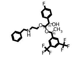 C[C@@H](O[C@@H](OCCNCc1ccccc1)[C@@H](O)c1ccc(F)cc1)c1cc(C(F)(F)F)cc(C(F)(F)F)c1